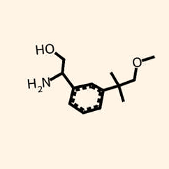 COCC(C)(C)c1cccc(C(N)CO)c1